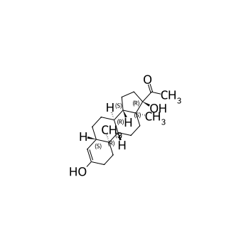 CC(=O)[C@@]1(O)CC[C@H]2[C@@H]3CC[C@H]4C=C(O)CC[C@]4(C)[C@H]3CC[C@@]21C